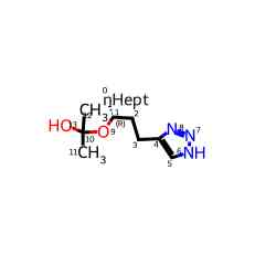 CCCCCCC[C@H](CCc1c[nH]nn1)OC(C)(C)O